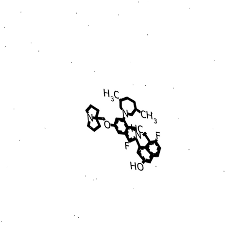 C#Cc1c(F)ccc2cc(O)cc(-c3ncc4c(N5CC(C)CCC(C)C5)cc(OCC56CCCN5CCC6)cc4c3F)c12